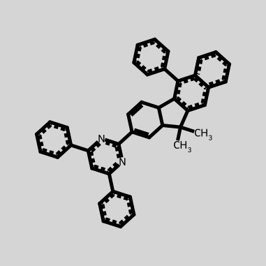 CC1(C)c2cc3ccccc3c(-c3ccccc3)c2C2C=CC(c3nc(-c4ccccc4)cc(-c4ccccc4)n3)=CC21